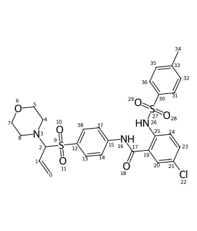 C=CC(N1CCOCC1)S(=O)(=O)c1ccc(NC(=O)c2cc(Cl)ccc2NS(=O)(=O)c2ccc(C)cc2)cc1